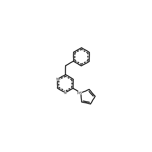 C1=C[SH](c2cc(Cc3ccccc3)ncn2)C=C1